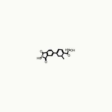 CC1CC(c2ccc3c(c2)C(=O)N(O)C3=O)=CC=C1C(=O)NO